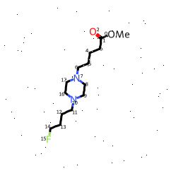 COC(=O)CC[CH]CN1CCN(CCCCF)CC1